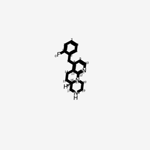 Fc1ccccc1Cc1ccnc2c1CC[C@@H]1CNCCN21